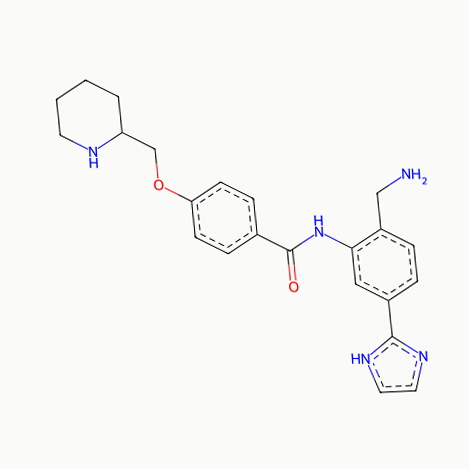 NCc1ccc(-c2ncc[nH]2)cc1NC(=O)c1ccc(OCC2CCCCN2)cc1